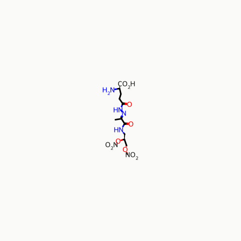 C/C(=N\NC(=O)CC[C@H](N)C(=O)O)C(=O)NC[C@@H](CO[N+](=O)[O-])O[N+](=O)[O-]